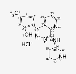 Cl.Oc1cc(C(F)(F)F)ccc1-c1nnc(N[C@@H]2CCCNC2)c2ncccc12